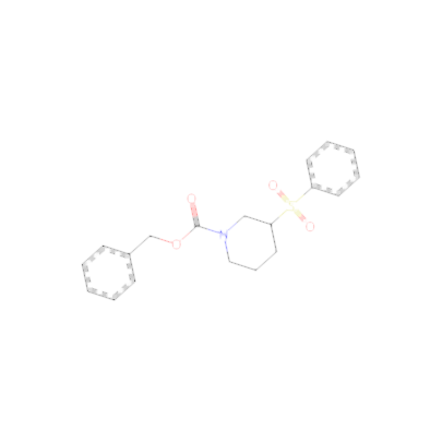 O=C(OCc1ccccc1)N1CCCC(S(=O)(=O)c2ccccc2)C1